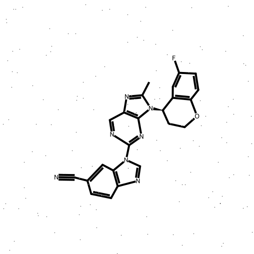 Cc1nc2cnc(-n3cnc4ccc(C#N)cc43)nc2n1[C@@H]1CCOc2ccc(F)cc21